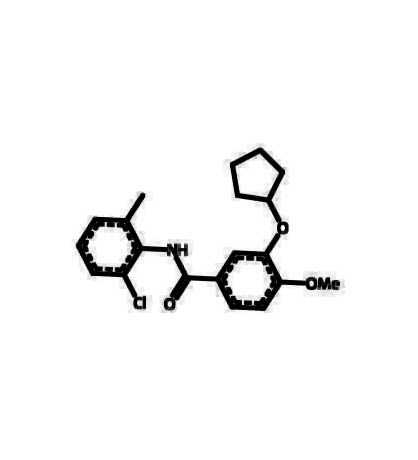 COc1ccc(C(=O)Nc2c(C)cccc2Cl)cc1OC1CCCC1